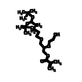 C=C(C)C(=O)OCC(COCCC[SiH2]C(O[Si](C)(C)C)O[Si](C)(C)C)OCCO